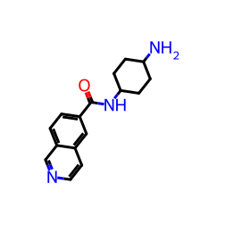 NC1CCC(NC(=O)c2ccc3cnccc3c2)CC1